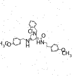 COc1ccc(CCNC(=O)[C@@H]2C[C@H](NCc3ccc(OC)cc3)CN2Cc2ccccc2Cl)cc1